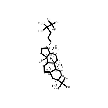 CC(O)(CCC[C@H]1CC[C@H]2[C@@H]3CC=C4C[C@](O)(C(F)(F)F)CC[C@]4(C)[C@H]3CC[C@]12C)C(F)(F)F